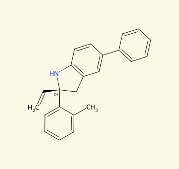 C=C[C@]1(c2ccccc2C)Cc2cc(-c3ccccc3)ccc2N1